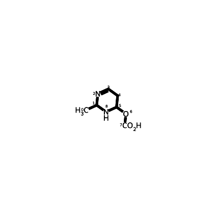 CC1N=CCC(OC(=O)O)N1